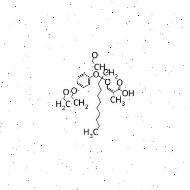 [CH2]C(CCCCCCCCC)(OC=C(C)C(=O)O)Oc1ccccc1.[CH2]C[O].[CH2]C[O].[CH2]C[O]